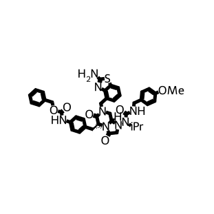 COc1ccc(CNC(=O)N(C(C)C)N2CC(=O)N3[C@@H](Cc4ccc(NC(=O)OCc5ccccc5)cc4)C(=O)N(Cc4cccc5sc(N)nc45)C[C@@H]32)cc1